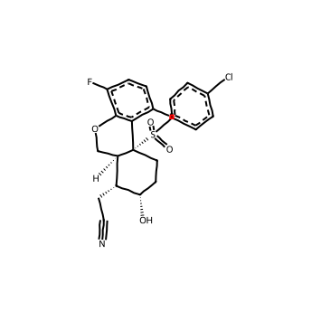 N#CC[C@@H]1[C@H]2COc3c(F)ccc(F)c3[C@@]2(S(=O)(=O)c2ccc(Cl)cc2)CC[C@@H]1O